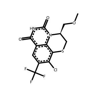 COC[C@H]1CSc2c(Cl)c(C(F)(F)F)cc3c(=O)[nH]c(=O)n1c23